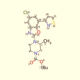 CC1CN(C(=O)OC(C)(C)C)CCN1c1nc2cc(Cl)cc(-c3ccsn3)c2o1